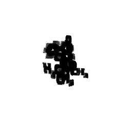 CC(C)OC(=O)[C@@H](C)Oc1ccc2c(-c3ccccc3Cl)cc(=O)oc2c1